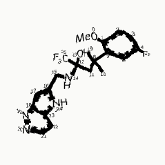 COc1ccc(F)cc1C(C)(C)CC(O)(NCc1cc2nnccc2[nH]1)C(F)(F)F